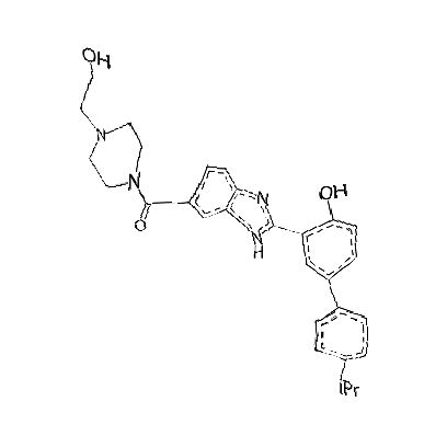 CC(C)c1ccc(-c2ccc(O)c(-c3nc4ccc(C(=O)N5CCN(CCO)CC5)cc4[nH]3)c2)cc1